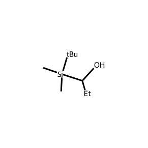 CCC(O)[Si](C)(C)C(C)(C)C